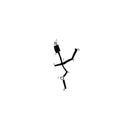 CCC(C)(C#N)COC